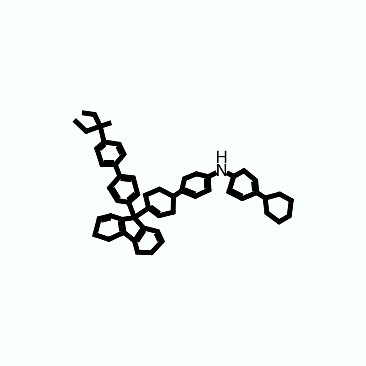 CCC(C)(CC)c1ccc(-c2ccc(C3(C4=CCC(C5=CC=C(NC6C=CC(C7CCCCC7)=CC6)CC5)CC4)C4=C(CCC=C4)C4=C3C=CCC4)cc2)cc1